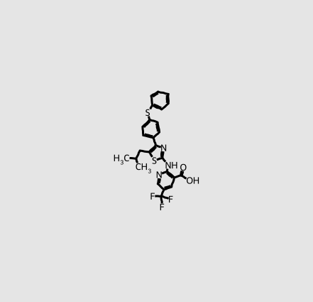 CC(C)Cc1sc(Nc2ncc(C(F)(F)F)cc2C(=O)O)nc1-c1ccc(Sc2ccccc2)cc1